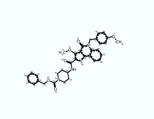 COc1ccc(Cn2c(=O)c3c(OC)c(C(=O)NC4CCN(C(=O)OCc5ccccc5)CC4)sc3c3ccccc32)cc1